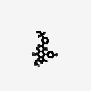 C=CC(F)(F)c1cccc(C(=O)NC2C(=O)N(CC)c3c(c(C)nn3CC(F)(F)F)[C@@H]2c2ccc(F)cc2)c1